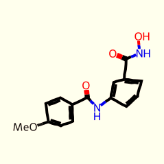 COc1ccc(C(=O)Nc2cccc(C(=O)NO)c2)cc1